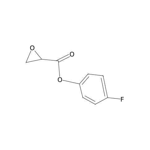 O=C(Oc1ccc(F)cc1)C1CO1